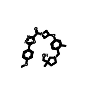 COc1ccc(-c2nnc(C(=O)N3CC(Oc4ccc(CN5CCC(C)(CO)C5)c(C)c4)C3)o2)cc1